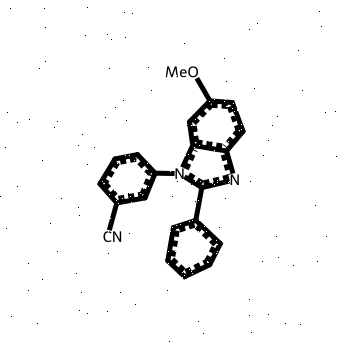 COc1ccc2nc(-c3ccccc3)n(-c3cccc(C#N)c3)c2c1